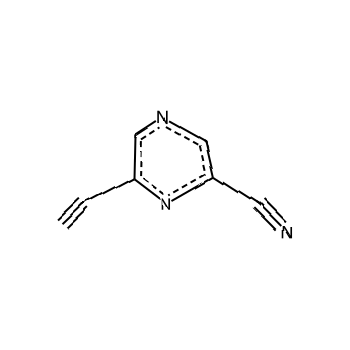 C#Cc1cncc(C#N)n1